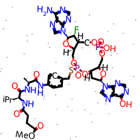 COC(=O)CCC(=O)N[C@H](C(=O)N[C@@H](C)C(=O)Nc1ccc(CSP2(=O)OC[C@H]3O[C@@H](n4cnc5c(N)ncnc54)[C@H](F)[C@@H]3COP(=O)(O)OC[C@H]3O[C@@H](n4cnc5c(O)ncnc54)C[C@@H]3O2)cc1)C(C)C